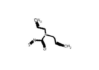 C=CCN(CC=C)C(=O)N=S